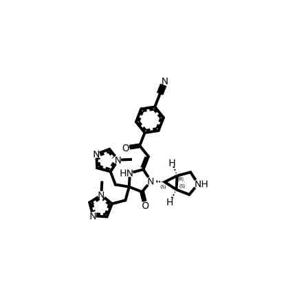 Cn1cncc1CC1(Cc2cncn2C)NC(=CC(=O)c2ccc(C#N)cc2)N([C@H]2[C@@H]3CNC[C@@H]32)C1=O